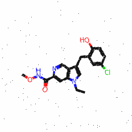 CCn1cc(Cc2cc(Cl)ccc2O)c2cnc(C(=O)NOC)cc21